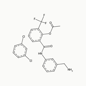 CC(=O)Oc1c(C(=O)Nc2cccc(CN)c2)cccc1C(F)(F)F.Clc1cccc(Cl)c1